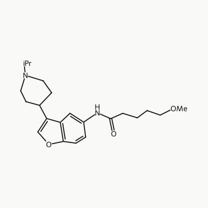 COCCCCC(=O)Nc1ccc2occ(C3CCN(C(C)C)CC3)c2c1